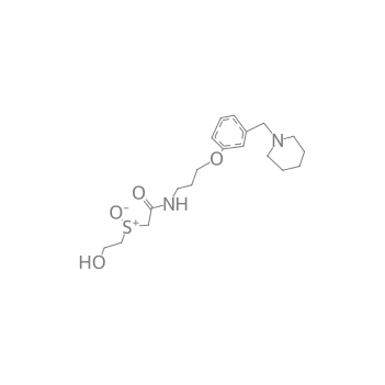 O=C(C[S+]([O-])CCO)NCCCOc1cccc(CN2CCCCC2)c1